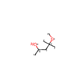 COC(C)(C)CC(C)O